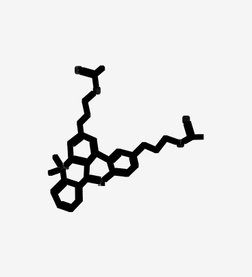 CC(=O)OCCCc1ccc2nc3c4c(cc(CCCOC(C)=O)cc4c2c1)[N+](C)(C)c1ccccc1-3